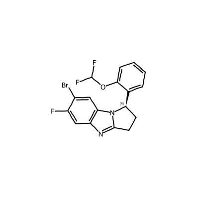 Fc1cc2nc3n(c2cc1Br)[C@@H](c1ccccc1OC(F)F)CC3